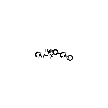 Nc1ccc(-c2cnc(N3CCCCC3)nc2)cc1C(=O)N(N)CCOc1ncccn1